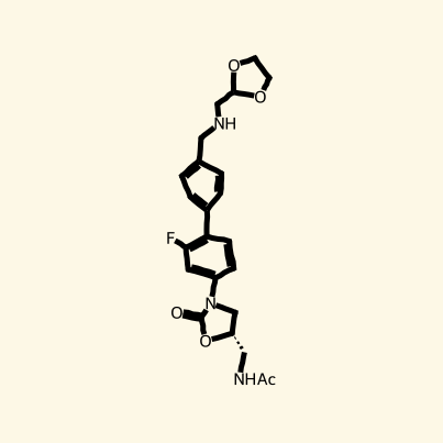 CC(=O)NC[C@H]1CN(c2ccc(-c3ccc(CNCC4OCCO4)cc3)c(F)c2)C(=O)O1